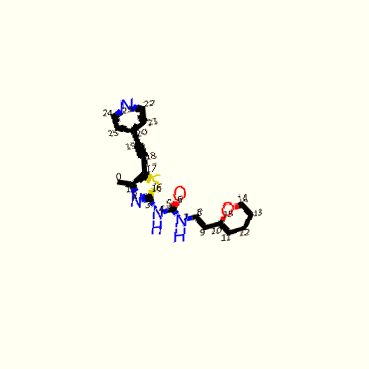 Cc1nc(NC(=O)NCCC2CCCCO2)sc1C#Cc1ccncc1